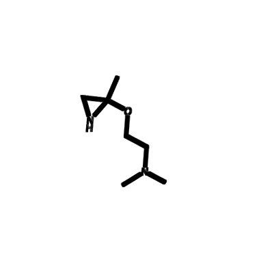 CN(C)CCOC1(C)CN1